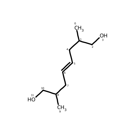 CC(CO)C/C=C/CC(C)CO